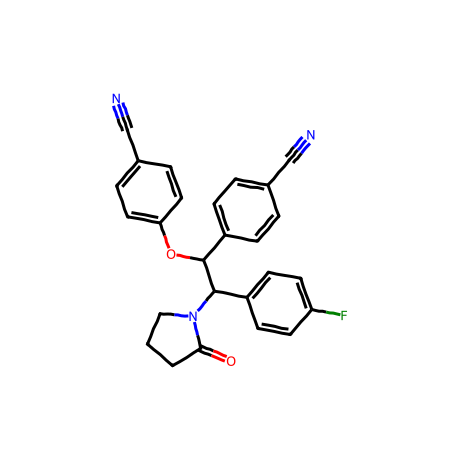 N#Cc1ccc(OC(c2ccc(C#N)cc2)C(c2ccc(F)cc2)N2CCCC2=O)cc1